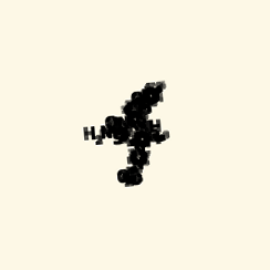 CCOc1cc(N2CCN(CCS(C)(=O)=O)CC2)c(C)cc1Nc1nc(Nc2ccsc2C(N)=O)c2ccn(S(=O)(=O)c3ccc(C)cc3)c2n1